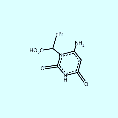 CCCC(C(=O)O)n1c(N)cc(=O)[nH]c1=O